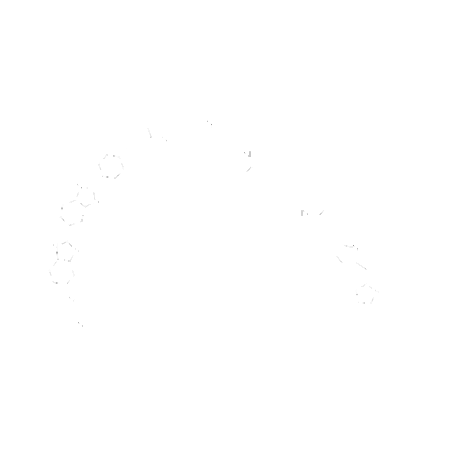 Cc1cc(C)n(B(F)F)c1C=C1C=CC(CCC(=O)NCCCCCC(=O)NCCCN(C)CCCNC(=O)COc2ccc(-c3nc4ccc(-c5nc6ccc(N7CCN(C)CC7)cc6[nH]5)cc4[nH]3)cc2)=N1